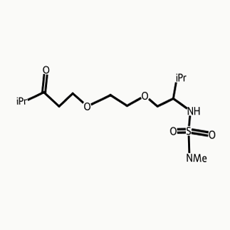 CNS(=O)(=O)NC(COCCOCCC(=O)C(C)C)C(C)C